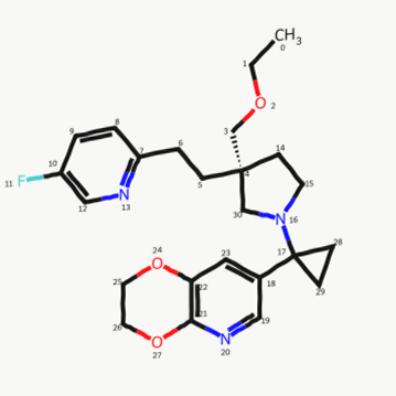 CCOC[C@]1(CCc2ccc(F)cn2)CCN(C2(c3cnc4c(c3)OCCO4)CC2)C1